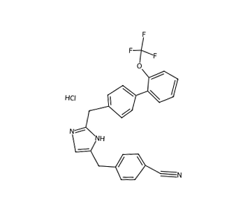 Cl.N#Cc1ccc(Cc2cnc(Cc3ccc(-c4ccccc4OC(F)(F)F)cc3)[nH]2)cc1